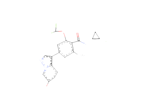 COc1cc(-c2cnn3cc(O)ccc23)cc(OC(F)F)c1C(=O)N[C@@H]1C[C@@H]1F